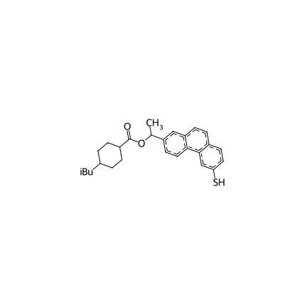 CCC(C)C1CCC(C(=O)OC(C)c2ccc3c(ccc4ccc(S)cc43)c2)CC1